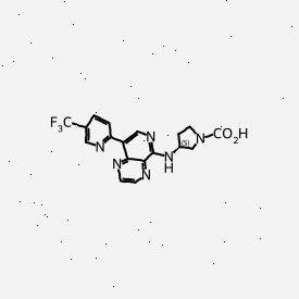 O=C(O)N1CC[C@H](Nc2ncc(-c3ccc(C(F)(F)F)cn3)c3nccnc23)C1